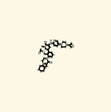 CC(=O)OCc1c(-c2cc(Nc3ccc(N4CCN(C5COC5)CC4)cn3)c(=O)n(C)n2)cccc1N1CCn2c(cc3c2CCCC3)C1=O